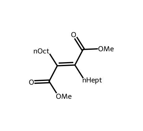 CCCCCCCCC(C(=O)OC)=C(CCCCCCC)C(=O)OC